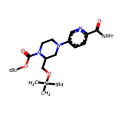 CNC(=O)c1ccc(N2CCN(C(=O)OC(C)(C)C)C(CO[Si](C)(C)C(C)(C)C)C2)cn1